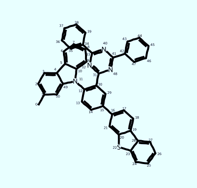 Cc1ccc2c3ccccc3n(-c3ccc(-c4ccc5c(c4)sc4ccccc45)cc3-c3nc(-c4ccccc4)nc(-c4ccccc4)n3)c2c1